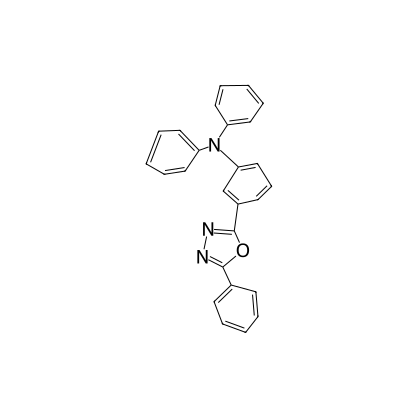 c1ccc(-c2nnc(-c3cccc(N(c4ccccc4)c4ccccc4)c3)o2)cc1